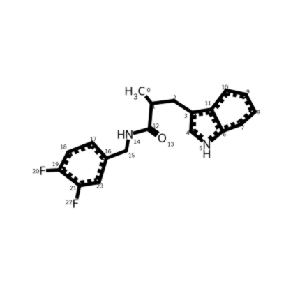 CC(Cc1c[nH]c2ccccc12)C(=O)NCc1ccc(F)c(F)c1